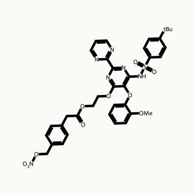 COc1ccccc1Oc1c(NS(=O)(=O)c2ccc(C(C)(C)C)cc2)nc(-c2ncccn2)nc1OCCOC(=O)Cc1ccc(CO[N+](=O)[O-])cc1